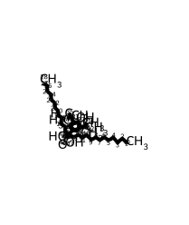 CCCCCCCCCCCCCCC(CCCCCCCCCCCCCC)(c1cc(C(C)(C)C)c(O)c(C(C)(C)C)c1)P(=O)(O)O